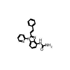 NC(=O)Nc1cccc2c1nc(C=Cc1ccccc1)n2-c1ccccn1